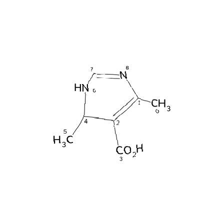 CC1=C(C(=O)O)C(C)NC=N1